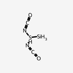 O=C=N[SH]([SiH3])N=C=O